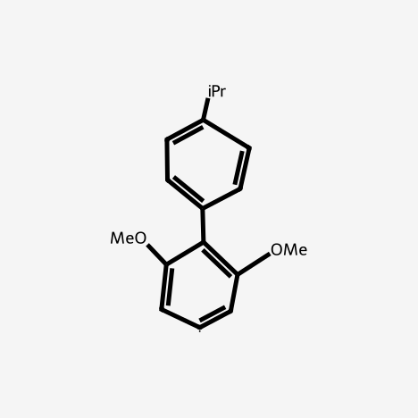 COc1c[c]cc(OC)c1-c1ccc(C(C)C)cc1